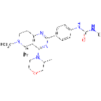 CCNC(=O)Nc1ccc(-c2nc3c(c(N4CCOCC4C)n2)[C@H](C(C)C)N(C(=O)O)CC3)cc1